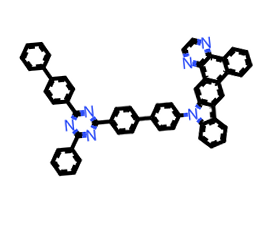 c1ccc(-c2ccc(-c3nc(-c4ccccc4)nc(-c4ccc(-c5ccc(-n6c7ccccc7c7cc8c9ccccc9c9nccnc9c8cc76)cc5)cc4)n3)cc2)cc1